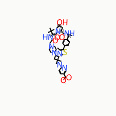 COC(=O)c1ccc(N2CC3(CC(N4CCN(CC(=O)N[C@H](C(=O)N5C[C@H](O)C[C@H]5C(=O)N[C@@H](C)c5ccc(-c6scnc6C)cc5)C(C)(C)C)CC4)C3)C2)nc1